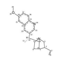 C=CC1CN2CCC1CC2[C@H](C)c1cnc2ccc(OC)cc2c1